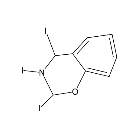 IC1Oc2ccccc2C(I)N1I